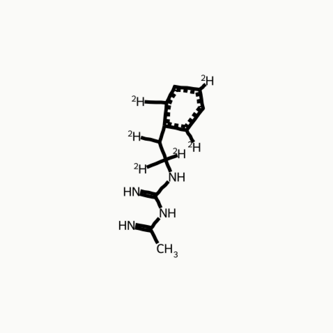 [2H]c1cc([2H])c(C([2H])C([2H])([2H])NC(=N)NC(C)=N)c([2H])c1